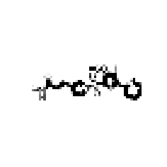 CS(=O)(=O)O.O=C(/C=C/c1ccn(S(=O)(=O)c2ccc(-c3ccccn3)s2)c1)NO